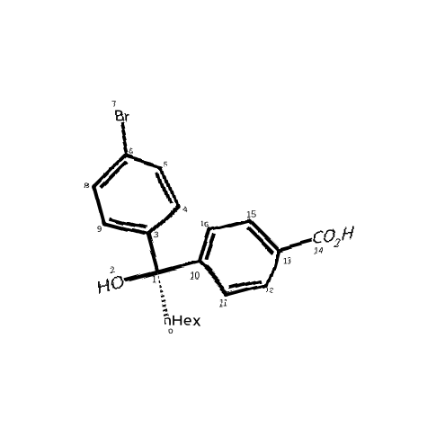 CCCCCC[C@](O)(c1ccc(Br)cc1)c1ccc(C(=O)O)cc1